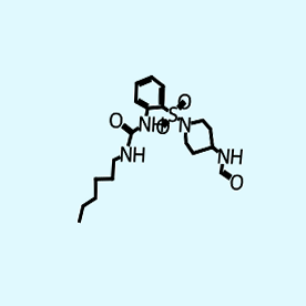 CCCCCCNC(=O)Nc1ccccc1S(=O)(=O)N1CCC(NC=O)CC1